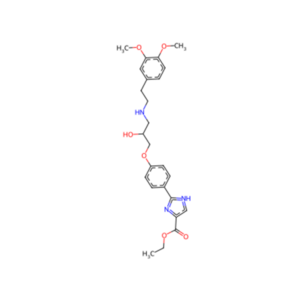 CCOC(=O)c1c[nH]c(-c2ccc(OCC(O)CNCCc3ccc(OC)c(OC)c3)cc2)n1